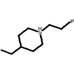 CC(C)CC[SiH]1CCC(CBr)CC1